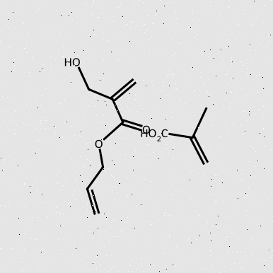 C=C(C)C(=O)O.C=CCOC(=O)C(=C)CO